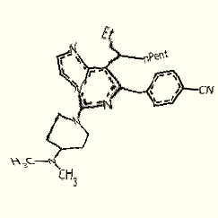 CCCCCC(CC)c1c(-c2ccc(C#N)cc2)nc(N2CCC(N(C)C)CC2)n2ccnc12